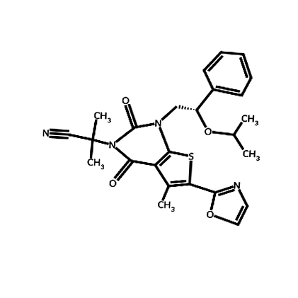 Cc1c(-c2ncco2)sc2c1c(=O)n(C(C)(C)C#N)c(=O)n2C[C@@H](OC(C)C)c1ccccc1